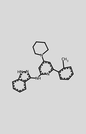 Cc1ccccc1-c1cc(N2CCCCC2)cc(Nc2n[nH]c3ccccc23)n1